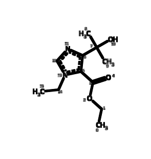 CCOC(=O)c1c(C(C)(C)O)ncn1CC